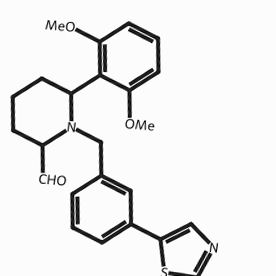 COc1cccc(OC)c1C1CCCC(C=O)N1Cc1cccc(-c2cncs2)c1